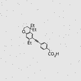 CCc1cc2c(cc1C#Cc1ccc(CC(=O)O)cc1)C(CC)(CC)CCO2